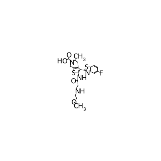 COCCNCCC(=O)Nc1sc2c(c1-c1nc3cc(F)ccc3s1)CC(C)N(C(=O)O)C2